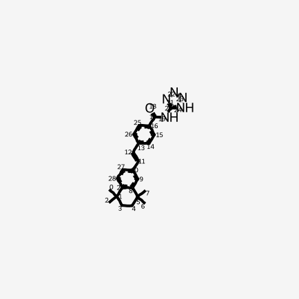 CC1(C)CCC(C)(C)c2cc(/C=C/c3ccc(C(=O)Nc4nnn[nH]4)cc3)ccc21